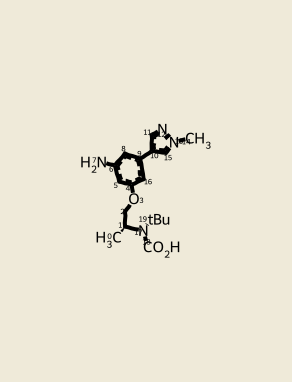 C[C@H](COc1cc(N)cc(-c2cnn(C)c2)c1)N(C(=O)O)C(C)(C)C